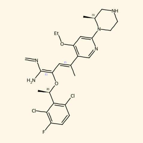 C=N/C(N)=C(\C=C(/C)c1cnc(N2CCNC[C@@H]2C)cc1OCC)O[C@H](C)c1c(Cl)ccc(F)c1Cl